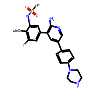 CCCS(=O)(=O)Nc1cc(-c2cc(-c3ccc(N4CCNCC4)cc3)cnc2N)cc(F)c1OC